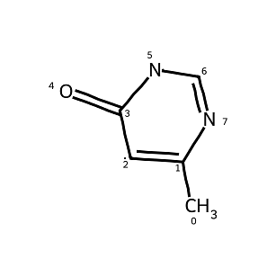 CC1=[C]C(=O)[N]C=N1